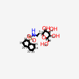 O=S(=O)(NCC[C@H]1O[C@H](CO)[C@@H](O)[C@H](O)[C@H]1O)c1cccc2ccccc12